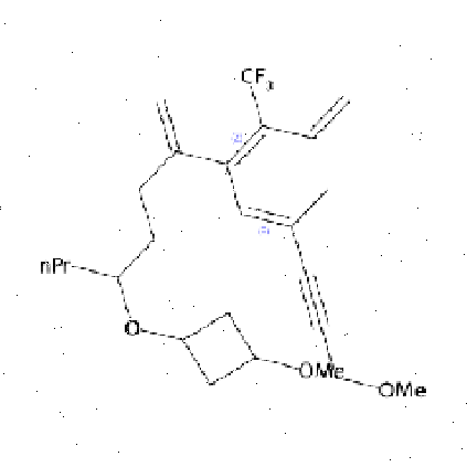 C=C/C(=C(\C=C(/C)C#CCOC)C(=C)CCC(CCC)OC1CC(OC)C1)C(F)(F)F